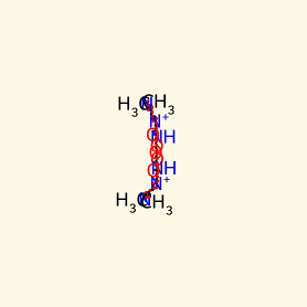 CN(C)c1ccc(C=Cc2cc[n+](CCCCCC(=O)NCCCOCCOCCOCCCNC(=O)CCCCC[n+]3ccc(C=Cc4ccc(N(C)C)cc4)cc3)cc2)cc1